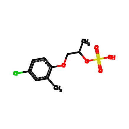 Cc1cc(Cl)ccc1OCC(C)OS(=O)(=O)O